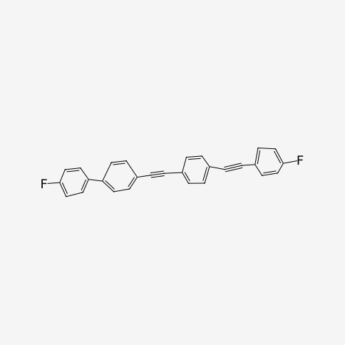 Fc1ccc(C#Cc2ccc(C#Cc3ccc(-c4ccc(F)cc4)cc3)cc2)cc1